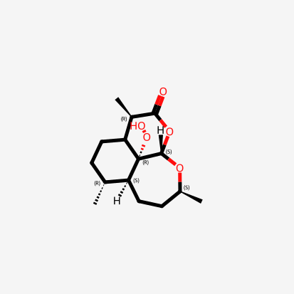 C[C@@H]1CCC2[C@@H](C)C(=O)O[C@@H]3O[C@@H](C)CC[C@@H]1[C@@]23OO